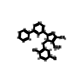 Cc1nc(-c2cncc(-c3ccccc3)n2)n(Cc2cc(Cl)ccc2Cl)c1C(=O)O